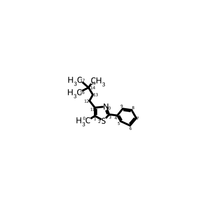 Cc1sc(-c2ccccc2)nc1CCC(C)(C)C